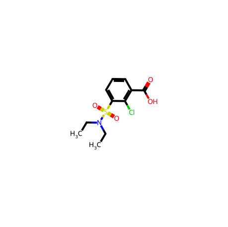 CCN(CC)S(=O)(=O)c1cccc(C(=O)O)c1Cl